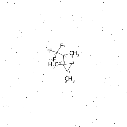 CC1CC1(C)C(C)C(F)(F)F